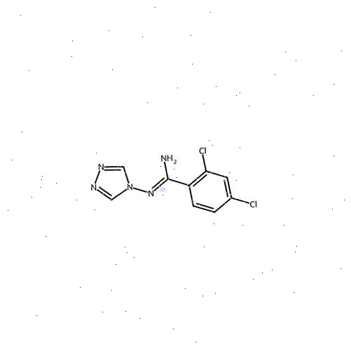 N/C(=N\n1cnnc1)c1ccc(Cl)cc1Cl